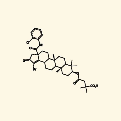 CC(C)C1=C2C3CCC4[C@@](C)(CCC5C(C)(C)[C@@H](OC(=O)CC(C)(C)C(=O)O)CC[C@@]54C)C3CCC2(C(=O)Nc2ccccc2Cl)CC1=O